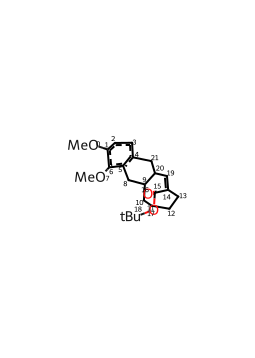 COc1ccc2c(c1OC)CC1CCCC/C(C(=O)OC(C)(C)C)=C/C1C2